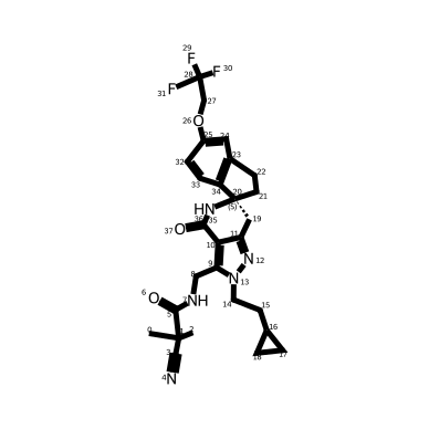 CC(C)(C#N)C(=O)NCc1c2c(nn1CCC1CC1)C[C@]1(CCc3cc(OCC(F)(F)F)ccc31)NC2=O